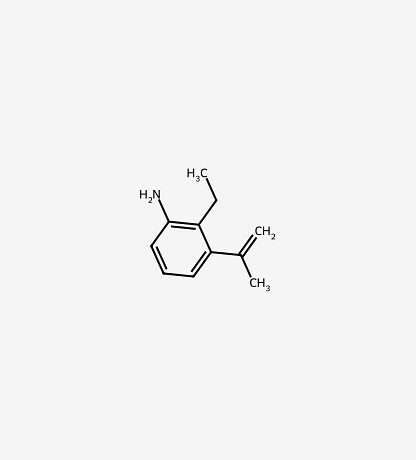 C=C(C)c1cccc(N)c1CC